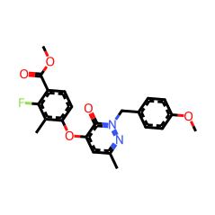 COC(=O)c1ccc(Oc2cc(C)nn(Cc3ccc(OC)cc3)c2=O)c(C)c1F